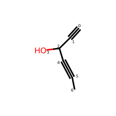 C#CC(O)C#CC